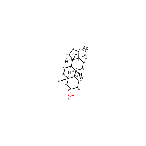 CC[C@]12CC[C@H]3[C@@H](CC[C@H]4C[C@@H](O)CC[C@@H]43)[C@@H]1CC[C@@H]2C(C)=O